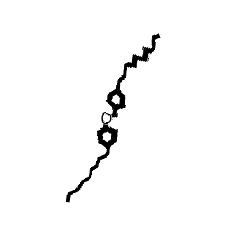 CCCCCCCC=Cc1ccc(OCc2ccc(CCCCCCCCCC)cc2)cc1